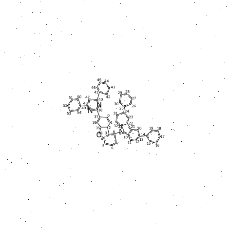 C1=CC2c3c(cccc3-n3c4ccc(-c5ccccc5)cc4c4cc(-c5ccccc5)ccc43)OC2C=C1c1nc(-c2ccccc2)cc(-c2ccccc2)n1